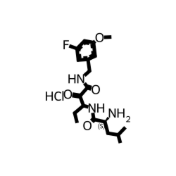 CCC(NC(=O)[C@@H](N)CC(C)C)C(=O)C(=O)NCc1cc(F)cc(OC)c1.Cl